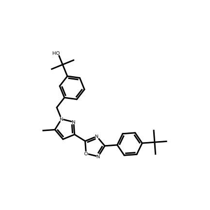 Cc1cc(-c2nc(-c3ccc(C(C)(C)C)cc3)no2)nn1Cc1cccc(C(C)(C)O)c1